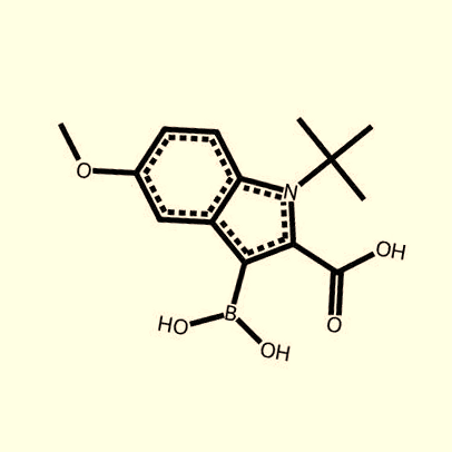 COc1ccc2c(c1)c(B(O)O)c(C(=O)O)n2C(C)(C)C